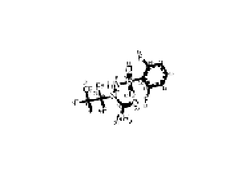 CC(F)(C(F)(F)F)C(F)(F)N(NS(=O)(=O)c1c(F)cccc1F)C(N)=O